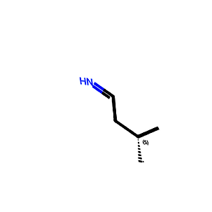 [CH2][C@@H](C)CC=N